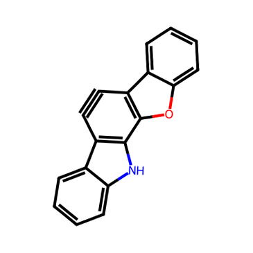 c1c2c3ccccc3[nH]c2c2oc3ccccc3c2c#1